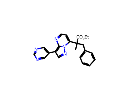 CCOC(=O)C(C)(Cc1ccccc1)c1ccnc2c(-c3cncnc3)cnn12